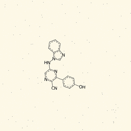 N#Cc1ncc(Nn2cnc3ccccc32)nc1-c1ccc(O)cc1